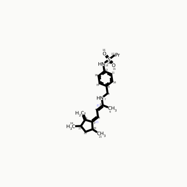 C=C1/C(=C\C=C(/C)NCc2ccc(NS(=O)(=O)C(C)C)cc2)C(C)CC1C